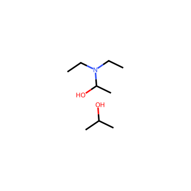 CC(C)O.CCN(CC)C(C)O